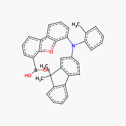 Cc1ccccc1N(c1ccc2c(c1)C(C)(C)c1ccccc1-2)c1cccc2c1oc1c(B(O)O)cccc12